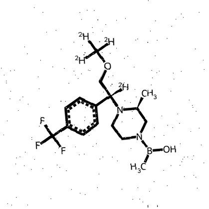 [2H]C([2H])([2H])OC[C@@]([2H])(c1ccc(C(F)(F)F)cc1)N1CCN(B(C)O)C[C@@H]1C